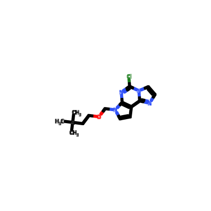 C[Si](C)(C)CCOCn1ccc2c1nc(Cl)n1ccnc21